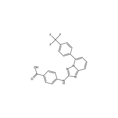 O=C(O)c1ccc(Nc2nc3cccc(-c4ccc(C(F)(F)F)cc4)n3n2)cc1